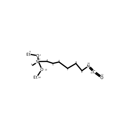 CCO[Si](C)(CCCCCCN=C=O)OCC